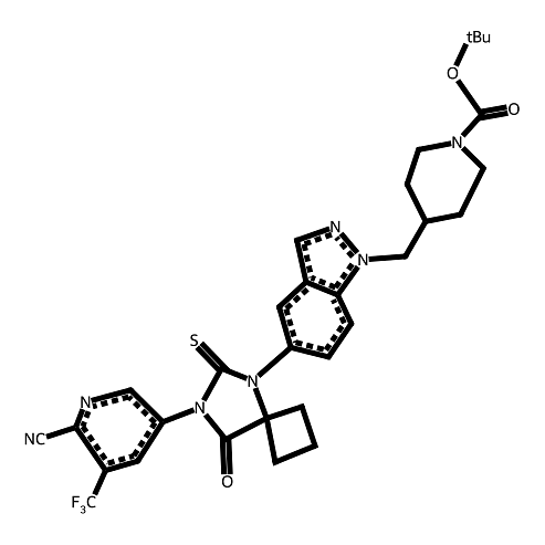 CC(C)(C)OC(=O)N1CCC(Cn2ncc3cc(N4C(=S)N(c5cnc(C#N)c(C(F)(F)F)c5)C(=O)C45CCC5)ccc32)CC1